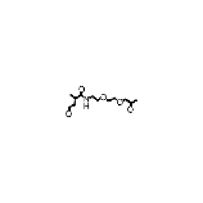 CC(=O)COCCOCCNC(=O)C(C)CC=O